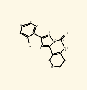 O=c1[nH]c2c(c3nc(-c4ccccc4F)nn13)CCCC2